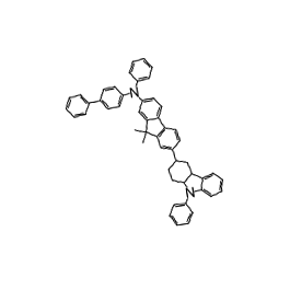 CC1(C)c2cc(C3CCC4C(C3)c3ccccc3N4c3ccccc3)ccc2-c2ccc(N(c3ccccc3)c3ccc(-c4ccccc4)cc3)cc21